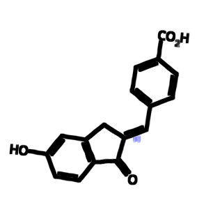 O=C(O)c1ccc(/C=C2\Cc3cc(O)ccc3C2=O)cc1